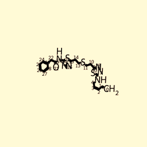 C=C/C=C\CNc1nnc(CCSCCc2nnc(NC(=O)Cc3ccccc3)s2)s1